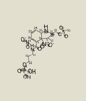 CC(Br)C1([N+](=O)[O-])C(C(=O)NCCCOP(=O)(O)O)=C([N+](=O)[O-])C=CC1NCCOS(C)(=O)=O